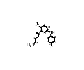 COc1cnc(Nc2ccc(Cl)cc2)nc1NCCCN